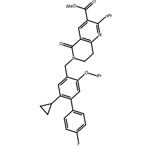 CCCc1nc2c(cc1C(=O)OC)C(=O)N(Cc1cc(C3CC3)c(-c3ccc(F)cc3)cc1OC(C)C)CC2